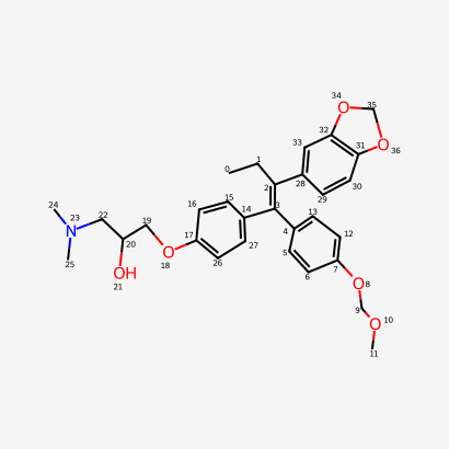 CC/C(=C(/c1ccc(OCOC)cc1)c1ccc(OCC(O)CN(C)C)cc1)c1ccc2c(c1)OCO2